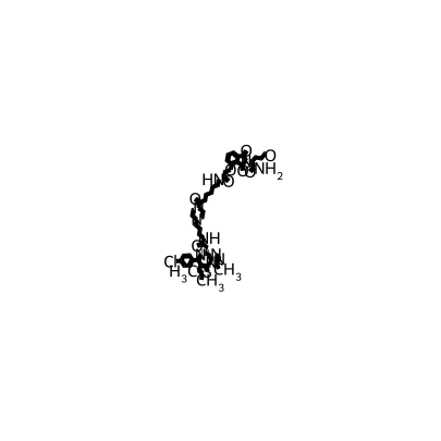 Cc1sc2c(c1C)C(c1ccc(Cl)cc1)=N[C@@H](CC(=O)NCCCN1CCN(C(=O)CCCCCNC(=O)COc3cccc4c3C(=O)N(C(CCC=O)C(N)=O)C4=O)CC1)c1nnc(C)n1-2